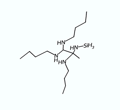 CCCCNC(NCCCC)C(C)(N[SiH3])NCCCC